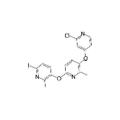 Cc1nc(Oc2ccc(I)nc2C)ccc1Oc1ccnc(Cl)c1